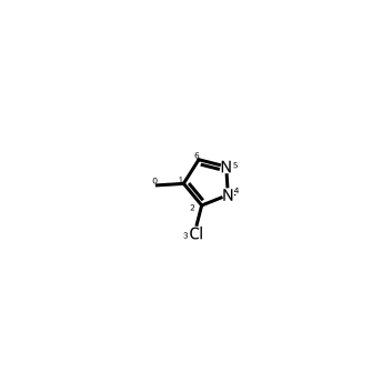 CC1=C(Cl)[N]N=C1